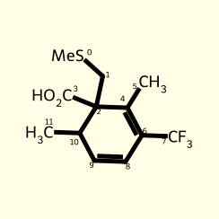 CSCC1(C(=O)O)C(C)=C(C(F)(F)F)C=CC1C